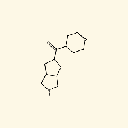 O=C(C1CCOCC1)C1CC2CNCC2C1